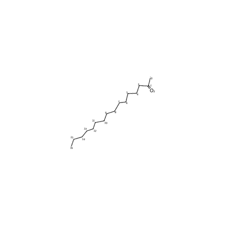 [CH2]C(=O)CCCCCCCCCCCCCC